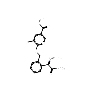 CNC(=O)/C(=N\OC)c1ccccc1COc1ncc(C(=O)SC(C)(C)C)cc1Cl